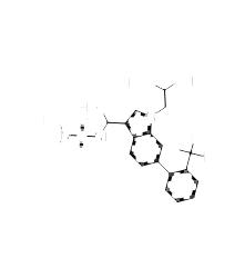 CC(C)Cn1cc(C(C)NS(=O)(=O)N(C)C)c2ccc(-c3ccccc3C(F)(F)F)cc21